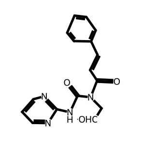 O=[C]CN(C(=O)/C=C/c1ccccc1)C(=O)Nc1ncccn1